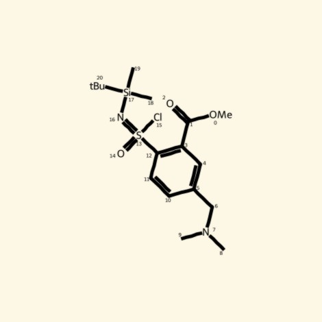 COC(=O)c1cc(CN(C)C)ccc1S(=O)(Cl)=N[Si](C)(C)C(C)(C)C